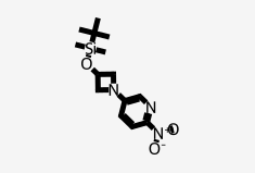 CC(C)(C)[Si](C)(C)OC1CN(c2ccc([N+](=O)[O-])nc2)C1